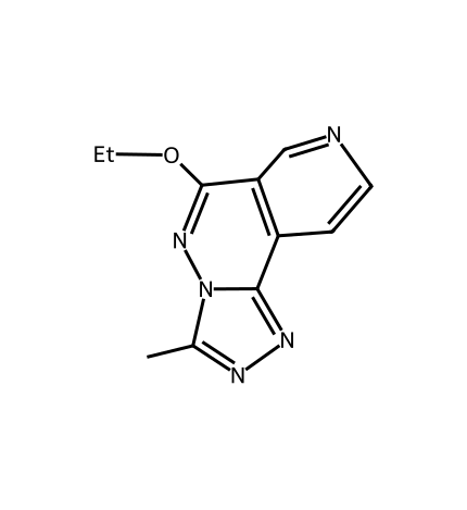 CCOc1nn2c(C)nnc2c2ccncc12